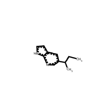 CCC(C)c1cnc2[nH]ccc2c1